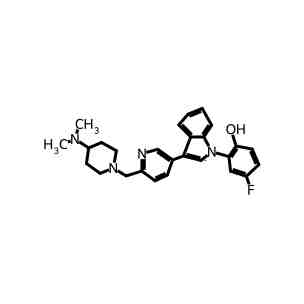 CN(C)C1CCN(Cc2ccc(-c3[c]n(-c4cc(F)ccc4O)c4ccccc34)cn2)CC1